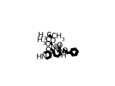 CC(C)(C)OC(=O)NC(=O)[C@@]1(C2CCNCC2)CC[C@@H]2CN1C(=O)N2OCc1ccccc1